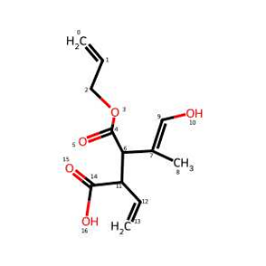 C=CCOC(=O)C(C(C)=CO)C(C=C)C(=O)O